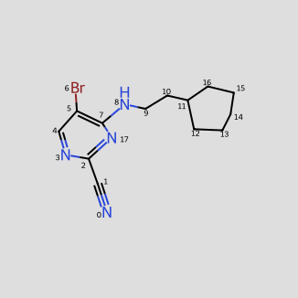 N#Cc1ncc(Br)c(NCCC2CCCCC2)n1